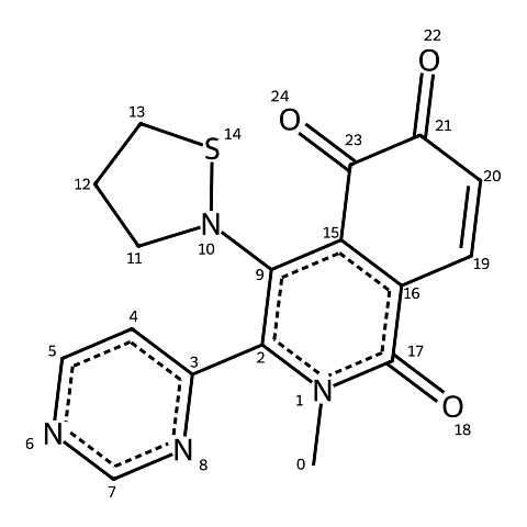 Cn1c(-c2ccncn2)c(N2CCCS2)c2c(c1=O)C=CC(=O)C2=O